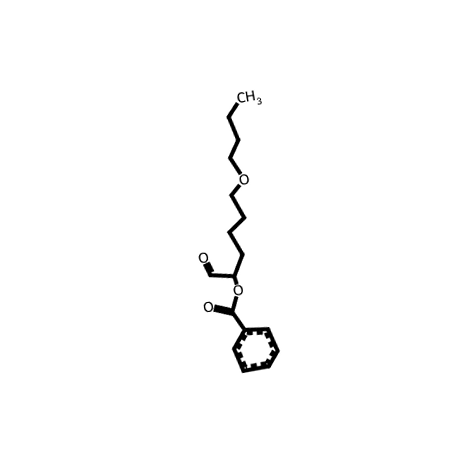 CCCCOCCCCC(C=O)OC(=O)c1ccccc1